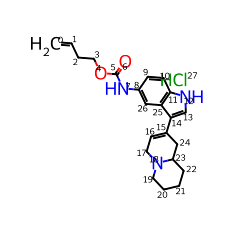 C=CCCOC(=O)Nc1ccc2[nH]cc(C3=CCN4CCCCC4C3)c2c1.Cl